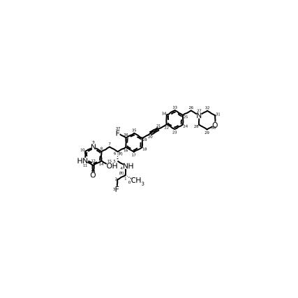 C[C@H](CF)NC[C@H](Cc1nc[nH]c(=O)c1O)c1ccc(C#Cc2ccc(CN3CCOCC3)cc2)cc1F